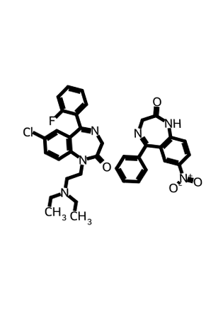 CCN(CC)CCN1C(=O)CN=C(c2ccccc2F)c2cc(Cl)ccc21.O=C1CN=C(c2ccccc2)c2cc([N+](=O)[O-])ccc2N1